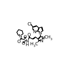 Cc1nn(C)c(-n2ccc3cc(Cl)cnc32)c1/C=C/C(=O)NS(=O)(=O)C(=O)N1CCCCC1